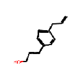 C=CCc1ccc(CCCO)cc1